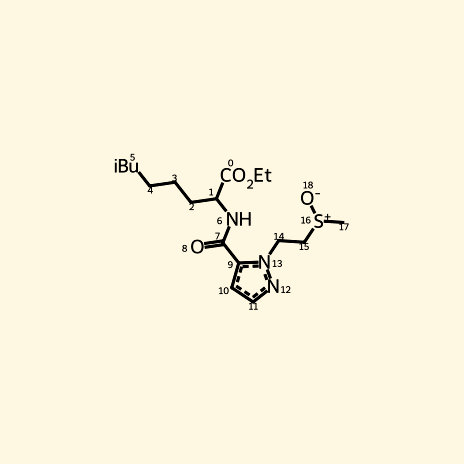 CCOC(=O)C(CCCC(C)CC)NC(=O)c1ccnn1CC[S+](C)[O-]